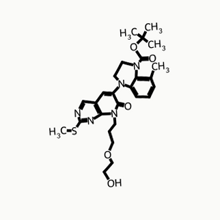 CSc1ncc2cc(N3CCN(C(=O)OC(C)(C)C)c4c(C)cccc43)c(=O)n(CCCOCCO)c2n1